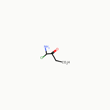 NC(Cl)C(=O)CC(=O)O